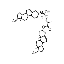 CC(=O)C1CCC2C3CC=C4CC(OC(=O)C(C)COP(=O)(O)OC5CCC6(C)C(=CCC7C6CCC6(C)C(C(C)=O)CCC76)C5)CCC4(C)C3CCC12C